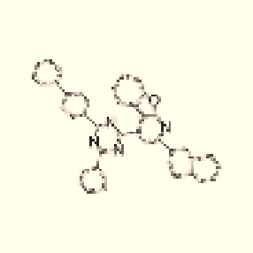 c1ccc(-c2ccc(-c3nc(-c4ccccc4)nc(-c4cc(-c5ccc6ccccc6c5)nc5oc6ccccc6c45)n3)cc2)cc1